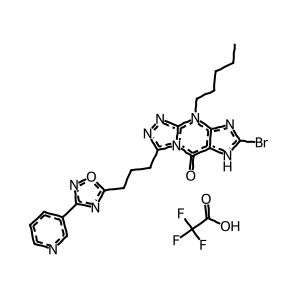 CCCCCn1c2nc(Br)[nH]c2c(=O)n2c(CCCc3nc(-c4cccnc4)no3)nnc12.O=C(O)C(F)(F)F